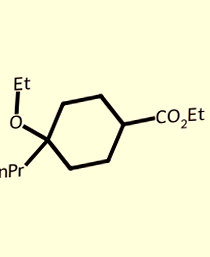 CCCC1(OCC)CCC(C(=O)OCC)CC1